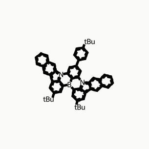 CC(C)(C)c1ccc(-c2cc3c4c(c2)-n2c5cc6ccccc6cc5c5cc(C(C)(C)C)cc(c52)B4c2cc(C(C)(C)C)cc4c5cc6ccccc6cc5n-3c24)cc1